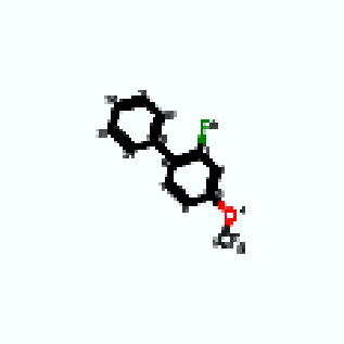 Fc1cc(OC(F)(F)F)ccc1-c1ccccc1